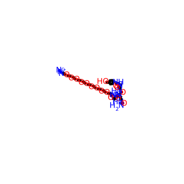 CC(C)[C@H](NC(=O)CCOCCOCCOCCOCCOCCOCCOCCOCCOCCN=[N+]=[N-])C(=O)N[C@@H](CCCNC(N)=O)C(=O)NCC(=O)N(C)CC(=O)Nc1ccc(CO)cc1